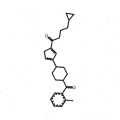 Cc1ccccc1C(=O)C1CCC(C2=CCC(C(=O)CCCC3CC3)=C2)CC1